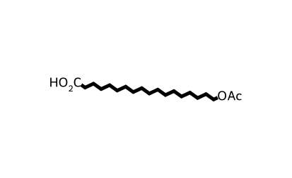 CC(=O)OCCCCCCCCCCCCCCCCCC(=O)O